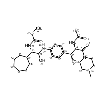 CCC(=O)N[C@@H](C(=O)N1CCN(C)CC1)[C@@H](CC)c1ccc(NC(O)[C@@H](NC(=O)OC(C)(C)C)C2CCCCCC2)cc1